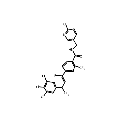 O=C(NCc1ccc(Cl)nc1)c1ccc(/C(F)=C/C(c2cc(Cl)c(Cl)c(Cl)c2)C(F)(F)F)cc1C(F)(F)F